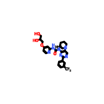 O=C(Nc1cc(OCC(O)CO)ccn1)N1c2nc(-c3cccc(C(F)(F)F)c3)ncc2N2CCC[C@H]1C2